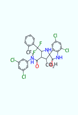 O=C(Nc1cc(Cl)cc(Cl)c1)C1C(C(F)(F)c2ccccc2C(F)(F)F)NC2(C(=O)Nc3c(Cl)cc(Cl)cc32)C1C(=O)O